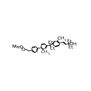 CCC(O)(/C=C/c1ccc(C(CC)(CC)c2ccc(-c3ccc(CCOOC)cc3)c(C)c2)cc1C)CC